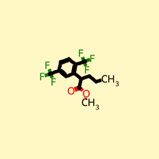 CCCC(C(=O)OC)c1cc(C(F)(F)F)ccc1C(F)(F)F